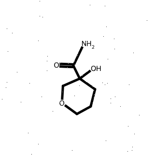 NC(=O)C1(O)CCCOC1